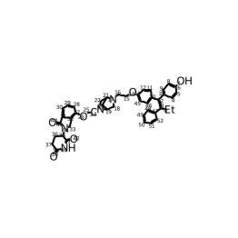 CCC(=C(c1ccc(O)cc1)c1ccc(OCCN2CC3CC2CN3CCOc2cccc3c2CN(C2CCC(=O)NC2=O)C3=O)cc1)c1ccccc1